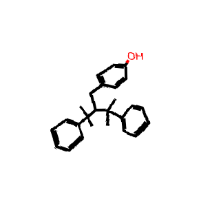 CC(C)(c1ccccc1)C(Cc1ccc(O)cc1)C(C)(C)c1ccccc1